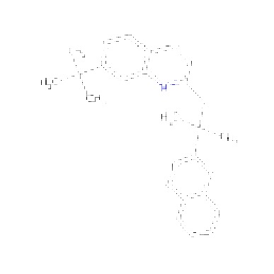 CC(C)(C)c1ccc2ccc(CC(C)(C)c3ccc4ccccc4c3)nc2c1